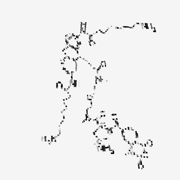 CN(CCOCCN(C)C(=O)[C@@H]1C[C@H](N)CN1C(=O)c1ccc2c(=O)oc(=O)n(C)c2c1)C(=O)CCC12C3=C(C=CC3)C(c3ccc(NC(=O)CCCCCCCN)cc31)c1ccc(NC(=O)CCCCCCCN)cc12